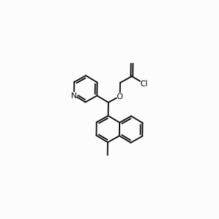 C=C(Cl)COC(c1cccnc1)c1ccc(C)c2ccccc12